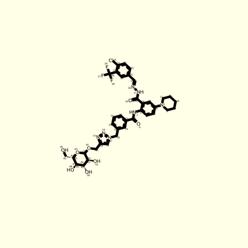 O=C(Nc1ccc(N2CCCCC2)cc1C(=O)NN=Cc1ccc(Cl)c(C(F)(F)F)c1)c1cccc(Cn2cc(COC3O[C@@H](CO)[C@H](O)[C@@H](O)[C@@H]3O)nn2)c1